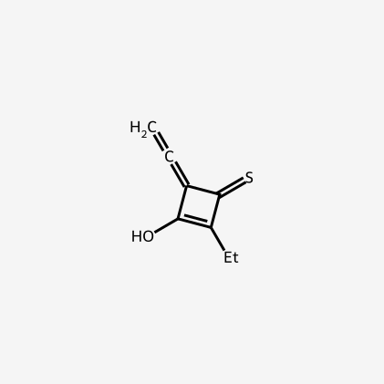 C=C=C1C(=S)C(CC)=C1O